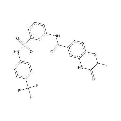 CC1Sc2ccc(C(=O)Nc3cccc(S(=O)(=O)Nc4ccc(C(F)(F)F)cc4)c3)cc2NC1=O